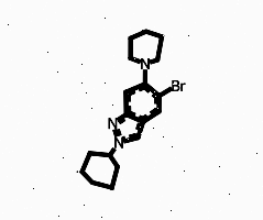 Brc1cc2cn(C3C[CH]CCC3)nc2cc1N1CCCCC1